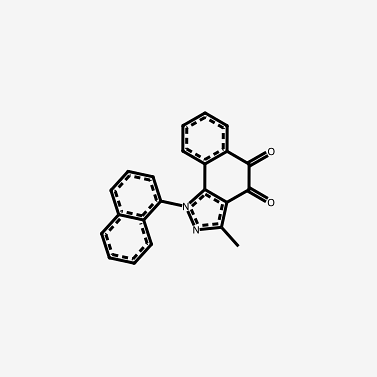 Cc1nn(-c2cccc3ccccc23)c2c1C(=O)C(=O)c1ccccc1-2